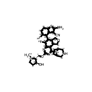 CN1CC[C@H](O)[C@H]1COc1nc(N2C3CCC2CNC3)c2c3c(c(-c4c(F)ccc5sc(N)c(C#N)c45)c(F)c2n1)COC3